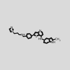 Cc1cc2cc(Nc3ccnc4cc(-c5ccc(CNCCCn6ccnc6)cc5)sc34)ccc2[nH]1